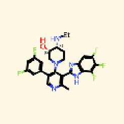 CCN[C@@H]1CCN(c2c(-c3cc(F)cc(F)c3)cnc(C)c2-c2nc3cc(F)c(F)c(F)c3[nH]2)C[C@@H]1O